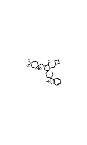 CN(C)[C@]1(c2ccccc2)CC[C@]2(CC1)CN(CC1(O)CCS(=O)(=O)CC1)C(=O)N2CC1CCC1